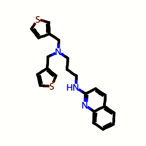 c1ccc2nc(NCCCN(Cc3ccsc3)Cc3ccsc3)ccc2c1